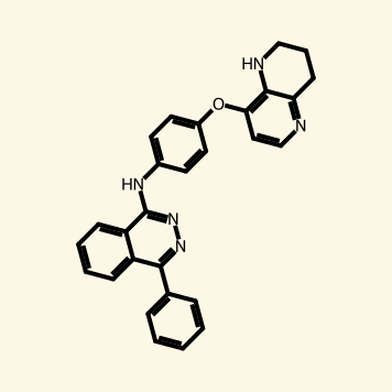 c1ccc(-c2nnc(Nc3ccc(Oc4ccnc5c4NCCC5)cc3)c3ccccc23)cc1